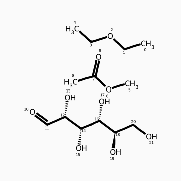 CCOCC.COC(C)=O.O=C[C@H](O)[C@@H](O)[C@H](O)[C@H](O)CO